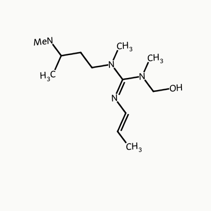 C/C=C/N=C(\N(C)CO)N(C)CCC(C)NC